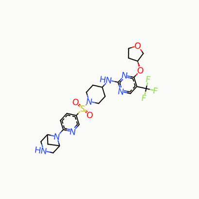 O=S(=O)(c1ccc(N2C3CNCC2C3)nc1)N1CCC(Nc2ncc(C(F)(F)F)c(O[C@H]3CCOC3)n2)CC1